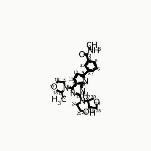 CNC(=O)c1cccc(-c2ccc3c(N4CCOC[C@@H]4C)nc(N4CCO[C@@H]5COC[C@@H]54)nc3n2)c1